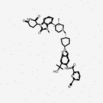 Cn1c(=O)n(C2CCC(=O)NC2=O)c2cccc([C@@H]3CCN(C[C@H]4CC[C@H](n5cc6cc(NC(=O)c7cccc(C#N)n7)c(C(C)(C)O)cc6n5)CC4)C[C@H]3F)c21